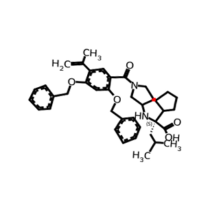 C=C(C)c1cc(C(=O)N2CCC(N[C@](CC(C)C)(C(=O)O)C3CCCC3)C2)c(OCc2ccccc2)cc1OCc1ccccc1